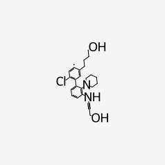 OCC#CNc1cccc(-c2cc(CCCCO)[c]cc2Cl)c1N1CCCCC1